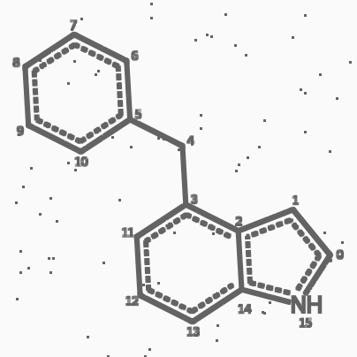 [c]1cc2c(Cc3ccccc3)cccc2[nH]1